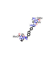 COC(=O)N[C@H](C(=O)N1C[C@@H](C=N)C[C@H]1c1ncc(-c2ccc(-c3ccc4cc(-c5cnc([C@@H]6CC7(CC7)CN6C(=O)[C@@H](NC(=O)OC)C(C)C)[nH]5)ccc4c3)cc2)[nH]1)C(C)C